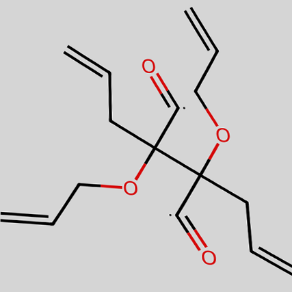 C=CCOC([C]=O)(CC=C)C([C]=O)(CC=C)OCC=C